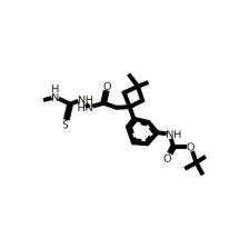 CNC(=S)NNC(=O)CC1(c2cccc(NC(=O)OC(C)(C)C)c2)CC(C)(C)C1